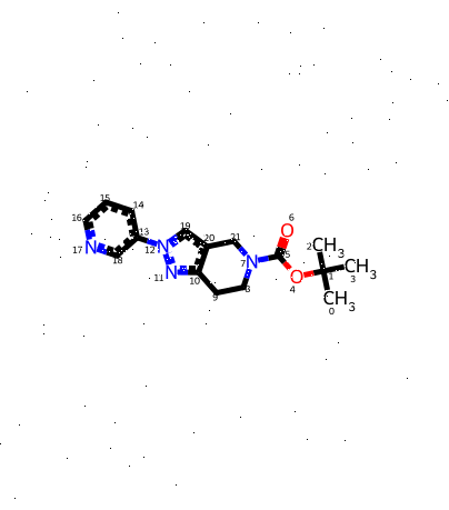 CC(C)(C)OC(=O)N1CCc2nn(-c3cccnc3)cc2C1